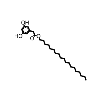 CCCCCCCCCCCCCCCCCCCOC(=O)Cc1cc(O)cc(O)c1